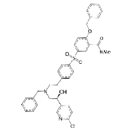 CNC(=O)c1cc(S(=O)(=O)c2ccc(CCN(Cc3ccccc3)C[C@@H](O)c3ccc(Cl)nc3)cc2)ccc1OCc1ccccc1